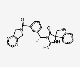 CC(C)CC1(c2ccccc2)NC(=N)N([C@H](C)c2cccc(C(=O)N3Cc4nccnc4C3)c2)C1=O